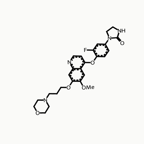 COc1cc2c(Oc3ccc(N4CCNC4=O)cc3F)ccnc2cc1OCCCN1CCOCC1